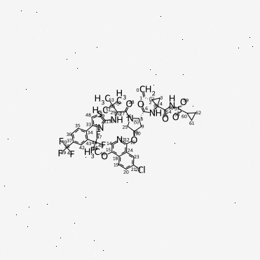 C=C[C@@H]1C[C@]1(NC(=O)[C@@H]1C[C@@H](Oc2ncc(OC)c3ccc(Cl)cc23)CN1C(=O)[C@@H](Nc1nc(-c2ccc(C(F)(F)F)cc2C(F)(F)F)cs1)C(C)(C)C)C(=O)NS(=O)(=O)C1CC1